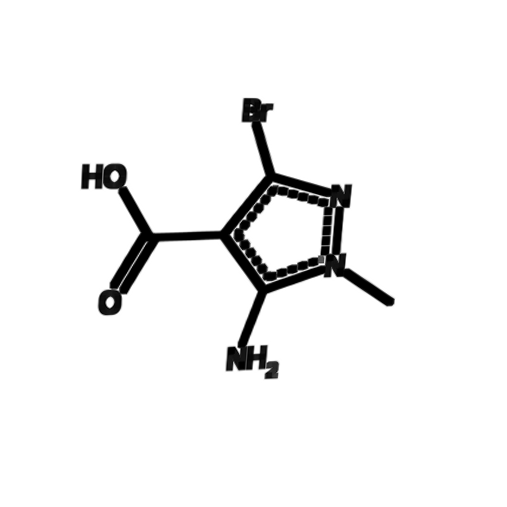 Cn1nc(Br)c(C(=O)O)c1N